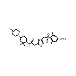 COc1cc(C)c(S(=O)(=O)Cc2noc(CC(=O)N[C@@H]3CCC(N4CCN(C)CC4)CC3(C)C)n2)c(C)c1